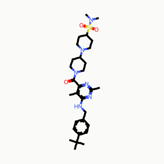 Cc1nc(NCc2ccc(C(C)(C)C)cc2)c(C)c(C(=O)N2CCC(N3CCC(S(=O)(=O)N(C)C)CC3)CC2)n1